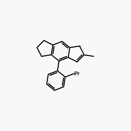 CC1=Cc2c(cc3c(c2-c2ccccc2C(C)C)CCC3)[CH]1